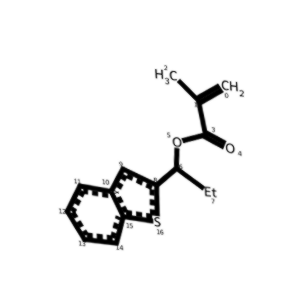 C=C(C)C(=O)OC(CC)c1cc2ccccc2s1